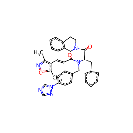 Cc1noc(C)c1C=CC(=O)N(Cc1ccc(-n2cncn2)cc1)[C@@H](Cc1ccccc1)C(=O)N1CCc2ccccc2C1